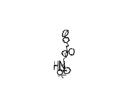 COc1ccc(/C=C/C(=O)OCCCNC(=O)OC(C)(C)C)cc1